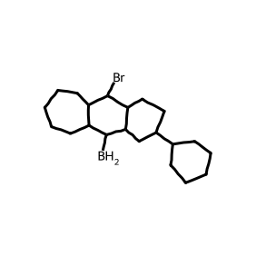 BC1C2CCCCCC2C(Br)C2CCC(C3CCCCC3)CC12